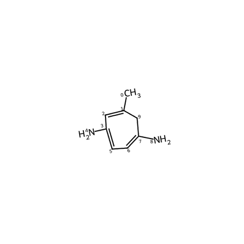 CC1=CC(N)=CC=C(N)C1